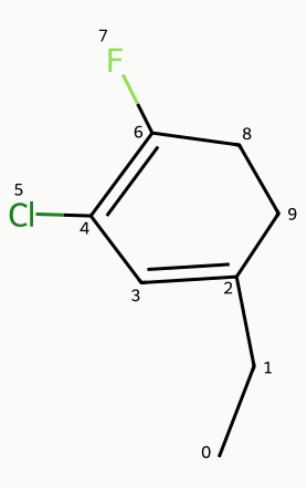 CCC1=CC(Cl)=C(F)CC1